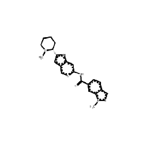 CN1CCCC[C@@H]1c1cc2cnc(NC(=O)c3ccc4cnn(C)c4c3)cc2[nH]1